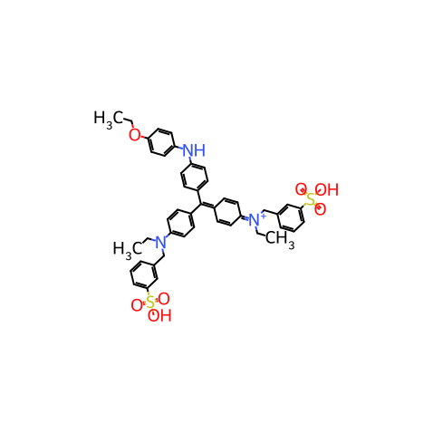 CCOc1ccc(Nc2ccc(C(=C3C=CC(=[N+](CC)Cc4cccc(S(=O)(=O)O)c4)C=C3)c3ccc(N(CC)Cc4cccc(S(=O)(=O)O)c4)cc3)cc2)cc1